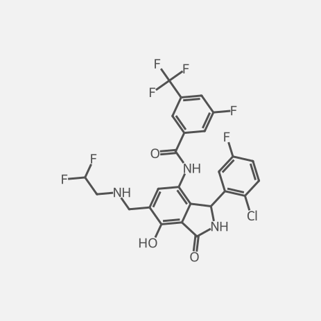 O=C(Nc1cc(CNCC(F)F)c(O)c2c1C(c1cc(F)ccc1Cl)NC2=O)c1cc(F)cc(C(F)(F)F)c1